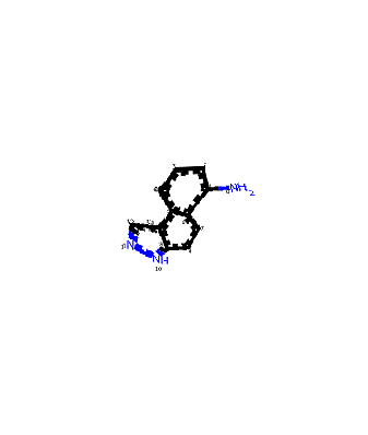 Nc1cccc2c1ccc1[nH]ncc12